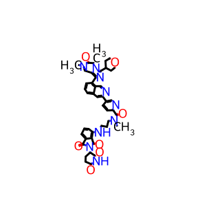 C[C@@H]1C(=O)N(C)Cc2c(-c3cccc4cc(-c5ccc(C(=O)N(C)CCCNc6cccc7c6C(=O)N(C6CCC(=O)NC6=O)C7=O)nc5)ncc34)nc(C3CCOCC3)n21